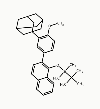 COc1ccc(-c2ccc3ccccc3c2O[Si](C)(C)C(C)(C)C)cc1C12CC3CC(CC(C3)C1)C2